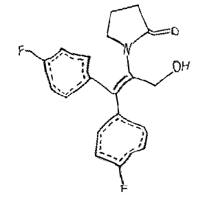 O=C1CCCN1C(CO)=C(c1ccc(F)cc1)c1ccc(F)cc1